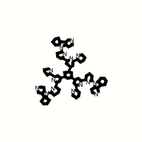 c1ccc(-c2cc(-c3cc(-c4cc(-c5ccccn5)nc(-c5cccc(-n6c7ccccc7c7cnccc76)n5)c4)cc(-c4cc(-c5ccccn5)nc(-c5cccc(-n6c7ccccc7c7cnccc76)n5)c4)c3)cc(-c3cccc(-n4c5ccccc5c5cnccc54)n3)n2)nc1